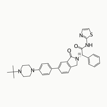 CC(C)(C)N1CCN(c2ccc(-c3ccc4c(c3)C(=O)N([C@H](C(=O)Nc3nccs3)c3ccccc3)C4)cc2)CC1